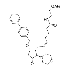 COCCNC(=O)CCC/C=C\C[C@H]1[C@@H](OCc2ccc(-c3ccccc3)cc2)CC(=O)[C@@H]1N1CCOCC1